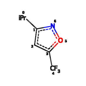 CC(C)c1cc(C(F)(F)F)on1